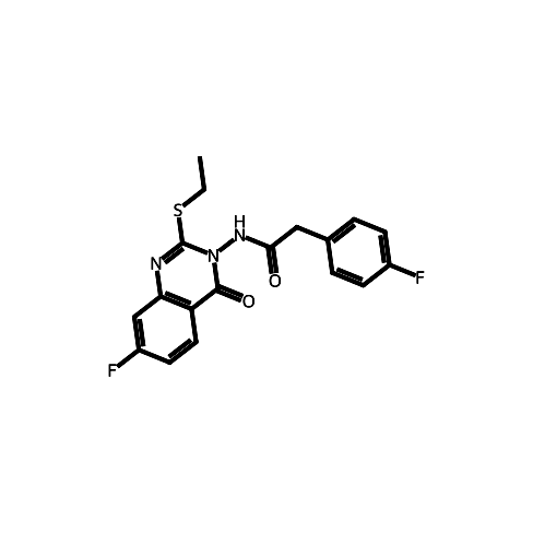 CCSc1nc2cc(F)ccc2c(=O)n1NC(=O)Cc1ccc(F)cc1